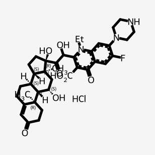 CCn1c(C(O)C(=O)[C@@]2(O)CC[C@H]3[C@@H]4CCC5=CC(=O)CC[C@]5(C)[C@H]4[C@@H](O)C[C@@]32C)c(C(=O)O)c(=O)c2cc(F)c(N3CCNCC3)cc21.Cl